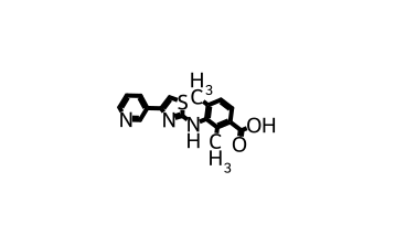 Cc1ccc(C(=O)O)c(C)c1Nc1nc(-c2cccnc2)cs1